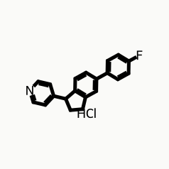 Cl.Fc1ccc(-c2ccc3c(c2)CCC3c2ccncc2)cc1